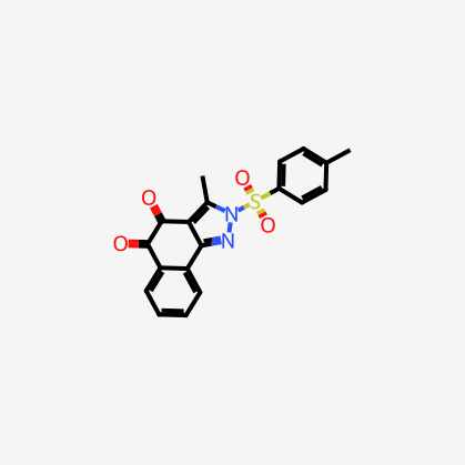 Cc1ccc(S(=O)(=O)n2nc3c(c2C)C(=O)C(=O)c2ccccc2-3)cc1